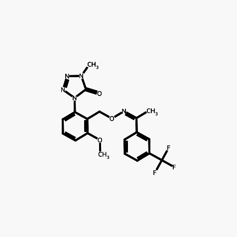 COc1cccc(-n2nnn(C)c2=O)c1CON=C(C)c1cccc(C(F)(F)F)c1